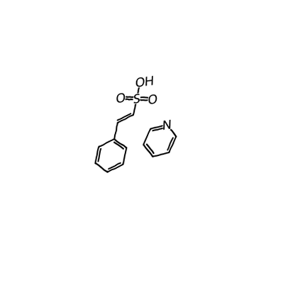 O=S(=O)(O)C=Cc1ccccc1.c1ccncc1